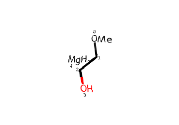 COCCO.[MgH2]